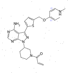 C=CC(=O)N1CCCC(n2nc(-c3ccc(COC(/C=C\NC)=C/C)s3)c3c(N)ncnc32)C1